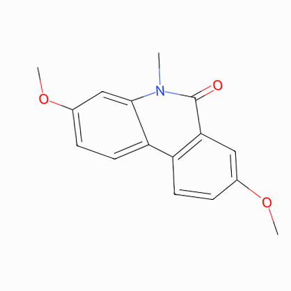 COc1ccc2c(c1)c(=O)n(C)c1cc(OC)ccc21